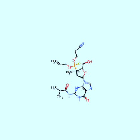 C=CCOP(=S)(OCCC#N)[C@]1(C)CC(n2cnc3c(=O)[nH]c(NC(=O)C(C)C)nc32)OC1CO